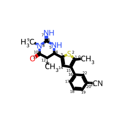 Cc1sc(C2NC(=N)N(C)C(=O)[C@H]2C)cc1-c1cccc(C#N)c1